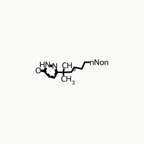 CCCCCCCCCCCCCC(C)(C)c1ccc(=O)[nH]n1